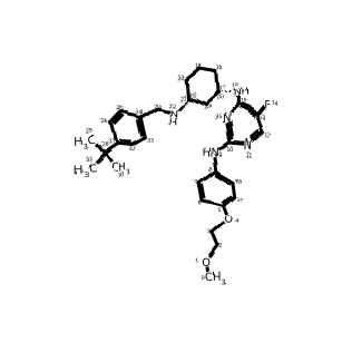 COCCOc1ccc(Nc2ncc(F)c(N[C@H]3CCC[C@H](NCc4ccc(C(C)(C)C)cc4)C3)n2)cc1